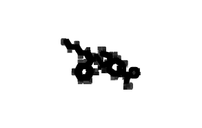 CCCC/C=C(\c1ccccc1)N1CCC2(CCN(C(C)=O)CC2)C1